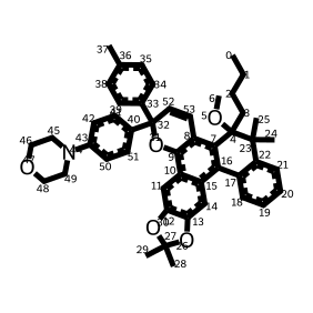 CCCCC1(OC)c2c3c(c4cc5c(cc4c2-c2ccccc2C1(C)C)OC(C)(C)O5)OC(c1ccc(C)cc1)(c1ccc(N2CCOCC2)cc1)C=C3